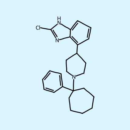 Clc1nc2c(C3CCN(C4(c5ccccc5)CCCCCC4)CC3)cccc2[nH]1